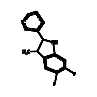 CC1c2cc(F)c(F)cc2NC1c1cccnc1